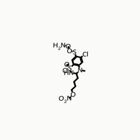 CN1c2cc(Cl)c(SOON)cc2S(=O)(=O)NC1CCCCO[N+](=O)[O-]